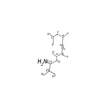 CC(C)CC(C)C#CC(C)C(C)CC(N)C(C)C